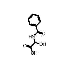 O=C(NC(O)C(=O)O)c1ccccc1